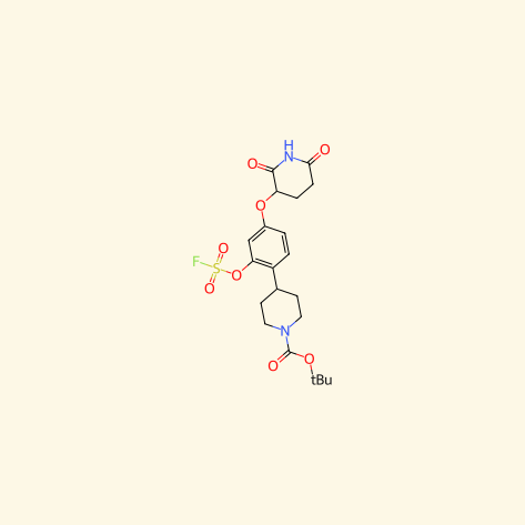 CC(C)(C)OC(=O)N1CCC(c2ccc(OC3CCC(=O)NC3=O)cc2OS(=O)(=O)F)CC1